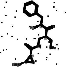 CCOC(=O)[C@H]1O[C@@H]1C(=O)NC[C@H](CSC)C(=O)[C@@H](N)Cc1ccccc1